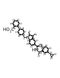 Cc1c(C)n(Cc2ccc(-c3ccccc3C(=O)O)cc2)c2ccc(C(=O)NC(C)c3cc(C4CC4)ccn3)cc12